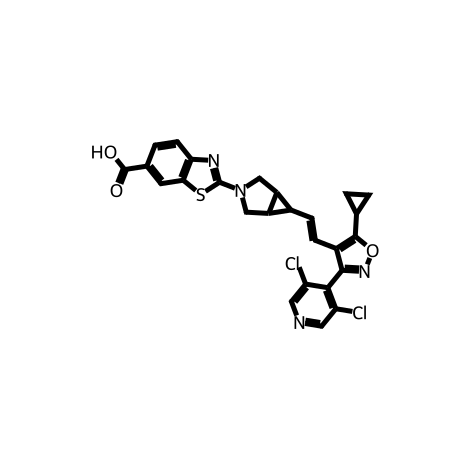 O=C(O)c1ccc2nc(N3CC4C(C=Cc5c(-c6c(Cl)cncc6Cl)noc5C5CC5)C4C3)sc2c1